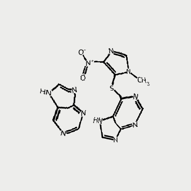 Cn1cnc([N+](=O)[O-])c1Sc1ncnc2nc[nH]c12.c1ncc2[nH]cnc2n1